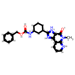 Cn1c(=O)c2[nH]c(C3CCCC(NC(=O)OCc4ccccc4)C3)nc2c2cccnc21